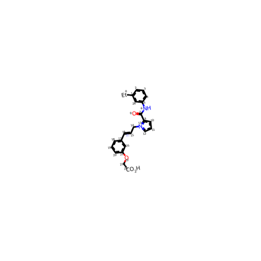 CCc1cccc(NC(=O)c2cccn2C/C=C/c2cccc(OCC(=O)O)c2)c1